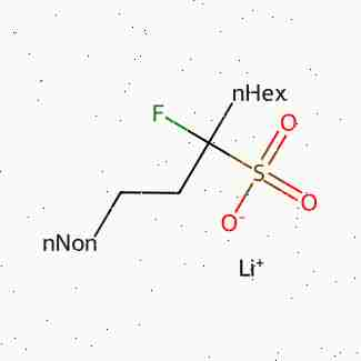 CCCCCCCCCCCC(F)(CCCCCC)S(=O)(=O)[O-].[Li+]